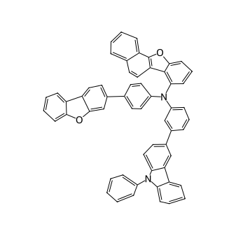 c1ccc(-n2c3ccccc3c3cc(-c4cccc(N(c5ccc(-c6ccc7c(c6)oc6ccccc67)cc5)c5cccc6oc7c8ccccc8ccc7c56)c4)ccc32)cc1